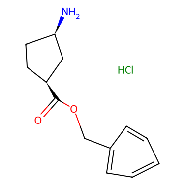 Cl.N[C@@H]1CC[C@H](C(=O)OCc2ccccc2)C1